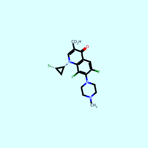 CN1CCN(c2c(F)cc3c(=O)c(C(=O)O)cn([C@@H]4C[C@@H]4F)c3c2F)CC1